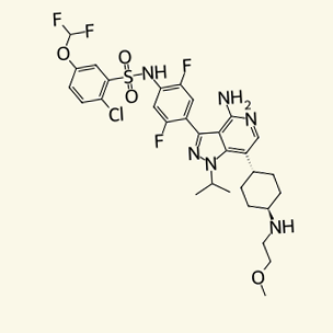 COCCN[C@H]1CC[C@H](c2cnc(N)c3c(-c4cc(F)c(NS(=O)(=O)c5cc(OC(F)F)ccc5Cl)cc4F)nn(C(C)C)c32)CC1